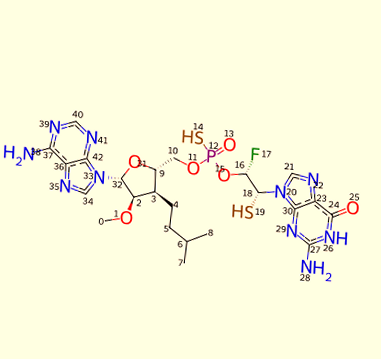 CO[C@@H]1[C@H](CCC(C)C)[C@@H](COP(=O)(S)O[C@H](F)[C@@H](S)n2cnc3c(=O)[nH]c(N)nc32)O[C@H]1n1cnc2c(N)ncnc21